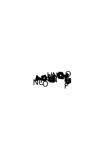 N#C[C@@]1(C2CC2)CCN(c2ccnc(Nc3ccc(C(=O)N4CC[C@H](F)C4)cc3)n2)C1=O